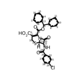 O=C(O)C1=C(C(=O)OC(c2ccccc2)c2ccccc2)N2C(=O)C(NC(=O)c3ccc(Cl)cc3)[C@@H]2SC1